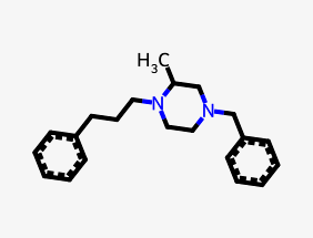 CC1CN(Cc2ccccc2)CCN1CCCc1ccccc1